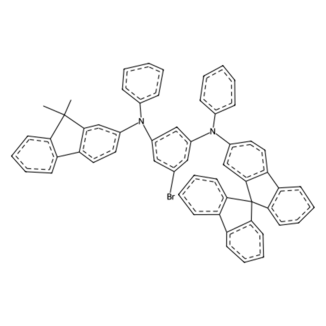 CC1(C)c2ccccc2-c2ccc(N(c3ccccc3)c3cc(Br)cc(N(c4ccccc4)c4ccc5c(c4)C4(c6ccccc6-c6ccccc64)c4ccccc4-5)c3)cc21